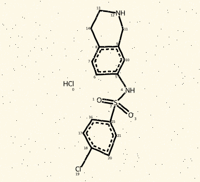 Cl.O=S(=O)(Nc1ccc2c(c1)CNCC2)c1ccc(Cl)cc1